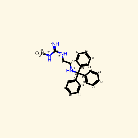 N=C(NCCNC(c1ccccc1)(c1ccccc1)c1ccccc1)N[N+](=O)[O-]